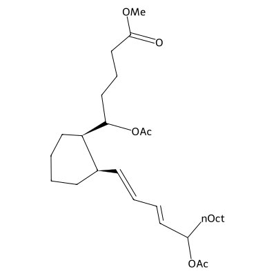 CCCCCCCCC(/C=C/C=C/[C@H]1CCCC[C@H]1C(CCCC(=O)OC)OC(C)=O)OC(C)=O